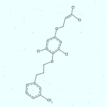 FC(F)(F)c1cccc(CCCOc2c(Cl)cc(OCC=C(Cl)Cl)cc2Cl)c1